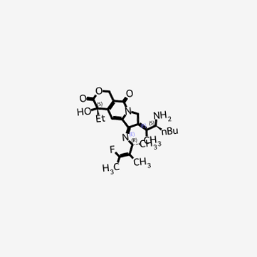 CCCC[C@H](N)/C(C)=C1\Cn2c(cc3c(c2=O)COC(=O)[C@]3(O)CC)\C1=N\[C@H](C)C(C)=C(C)F